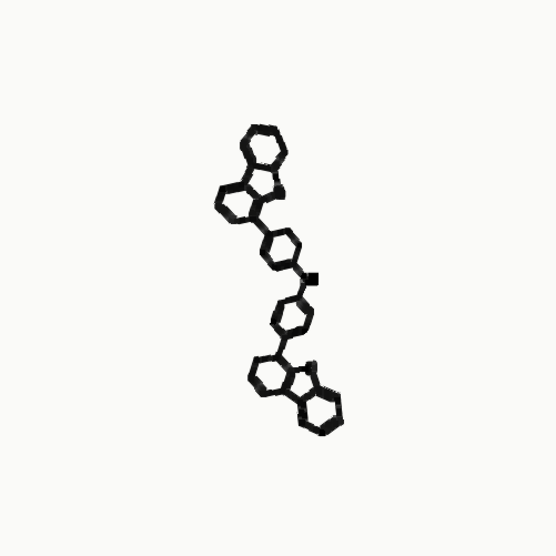 C1=CCC2Oc3c(C4=CC=C(Nc5ccc(C6CC=Cc7c6oc6ccccc76)cc5)CC4)cccc3C2=C1